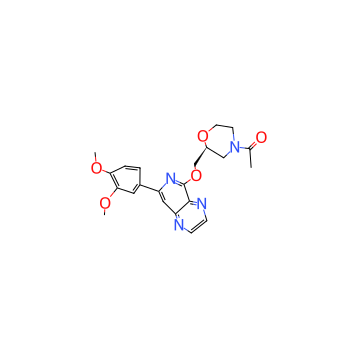 COc1ccc(-c2cc3nccnc3c(OC[C@@H]3CN(C(C)=O)CCO3)n2)cc1OC